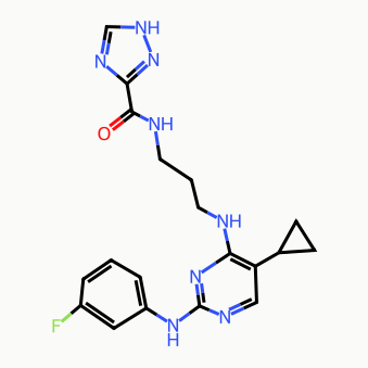 O=C(NCCCNc1nc(Nc2cccc(F)c2)ncc1C1CC1)c1nc[nH]n1